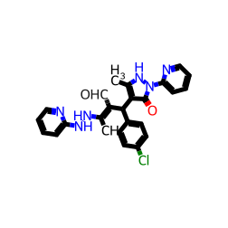 C/C(NNc1ccccn1)=C(/C=O)C(c1ccc(Cl)cc1)c1c(C)[nH]n(-c2ccccn2)c1=O